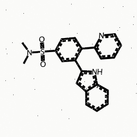 CN(C)S(=O)(=O)c1ccc(-c2ccccn2)c(-c2cc3ccccc3[nH]2)c1